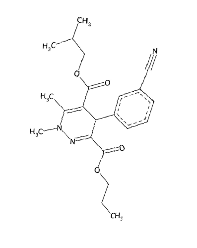 CCCOC(=O)C1=NN(C)C(C)=C(C(=O)OCC(C)C)C1c1cccc(C#N)c1